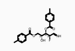 Cc1ccc(C(=O)OC[C@@H](O)[C@@H](OC(=O)c2ccc(C)cc2)[C@H](F)C=N)cc1